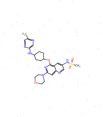 CS(=O)(=O)Nc1cnc2cc(N3CCOCC3)nc(OC3CCC(Nc4cnc(C(F)(F)F)cn4)CC3)c2c1